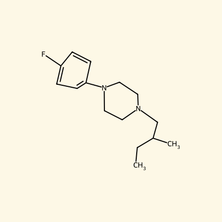 CCC(C)CN1CCN(c2ccc(F)cc2)CC1